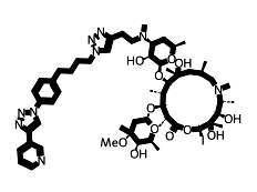 CO[C@]1(C)C[C@H](O[C@H]2[C@H](C)[C@@H](O[C@@H]3O[C@H](C)C[C@H](N(C)CCc4cn(CCCCc5ccc(-n6cc(-c7cccnc7)nn6)cc5)nn4)[C@H]3O)[C@](C)(O)C[C@@H](C)CN(C)[C@H](C)[C@@H](O)[C@](C)(O)[C@@H](I)OC(=O)[C@@H]2C)O[C@@H](C)[C@@H]1O